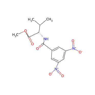 COC(=O)[C@@H](NC(=O)c1cc([N+](=O)[O-])cc([N+](=O)[O-])c1)C(C)C